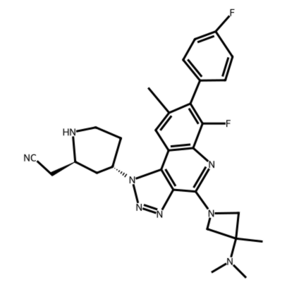 Cc1cc2c(nc(N3CC(C)(N(C)C)C3)c3nnn([C@H]4CCN[C@H](CC#N)C4)c32)c(F)c1-c1ccc(F)cc1